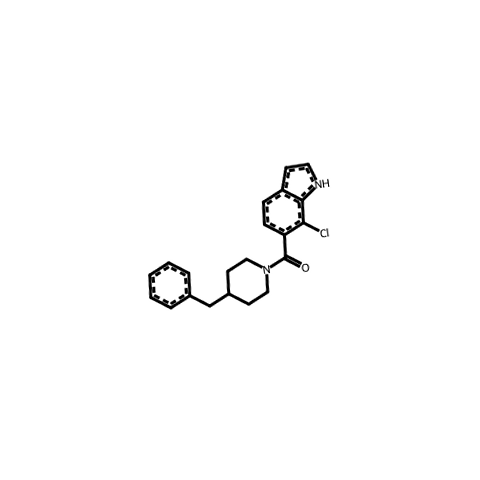 O=C(c1ccc2cc[nH]c2c1Cl)N1CCC(Cc2ccccc2)CC1